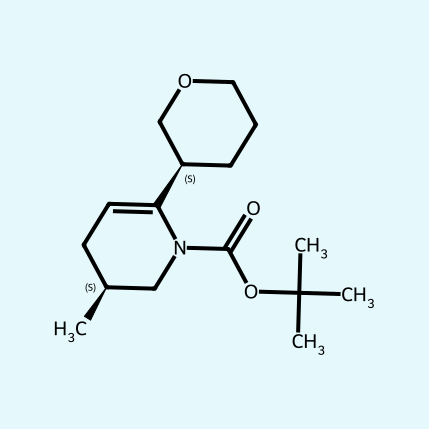 C[C@H]1CC=C([C@@H]2CCCOC2)N(C(=O)OC(C)(C)C)C1